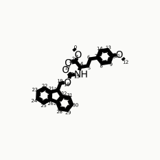 COC(=O)C(CCc1ccc(OC)cc1)NC(=O)OCC1c2ccccc2-c2ccccc21